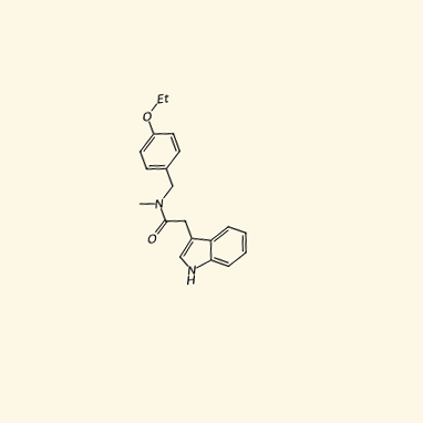 CCOc1ccc(CN(C)C(=O)Cc2c[nH]c3ccccc23)cc1